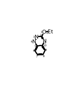 CCOc1nnc2ccccc2n1